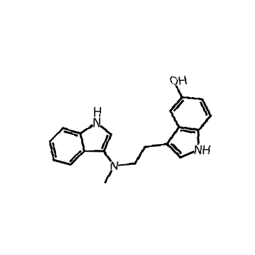 CN(CCc1c[nH]c2ccc(O)cc12)c1c[nH]c2ccccc12